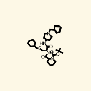 CC(C)(C)OC(=O)N1CCCCC1C(=O)N[C@@H](CSCC1CCCCC1)C(=O)NC1CCN(Cc2ccccc2)CC1